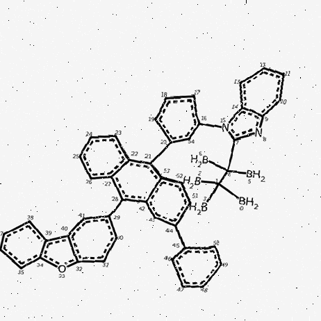 BC(B)(B)C(B)(B)c1nc2ccccc2n1-c1cccc(-c2c3ccccc3c(-c3ccc4oc5ccccc5c4c3)c3cc(-c4ccccc4)ccc23)c1